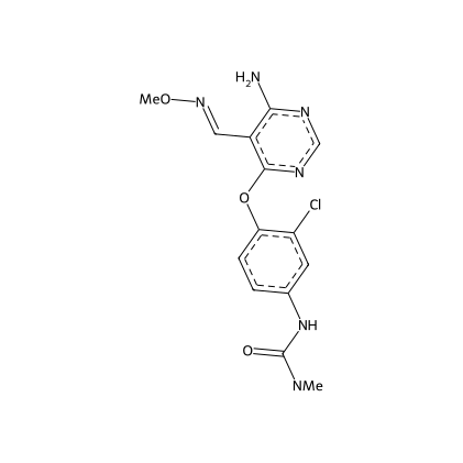 CNC(=O)Nc1ccc(Oc2ncnc(N)c2C=NOC)c(Cl)c1